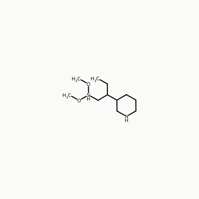 CCC(C[SiH](OC)OC)C1CCCNC1